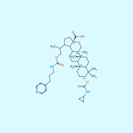 CC(COC(=O)NCCCc1ccncc1)C1CC[C@]2(C(=O)O)CC[C@]3(C)C(CCC4[C@@]5(C)CC[C@@H](OC(=O)NC6CC6)C(C)(C)C5CC[C@]43C)C12